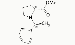 COC(=O)[C@H]1CCCN1[C@@H](C)c1ccccc1